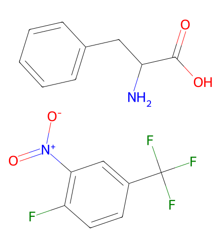 NC(Cc1ccccc1)C(=O)O.O=[N+]([O-])c1cc(C(F)(F)F)ccc1F